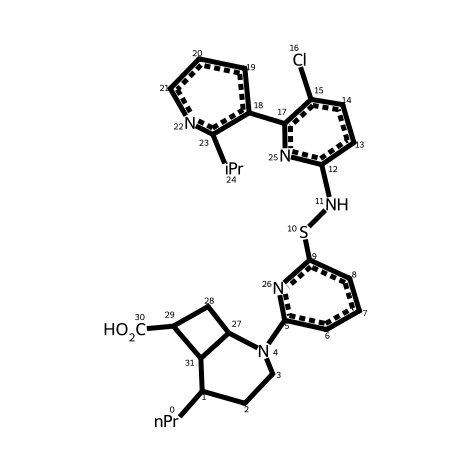 CCCC1CCN(c2cccc(SNc3ccc(Cl)c(-c4cccnc4C(C)C)n3)n2)C2CC(C(=O)O)C12